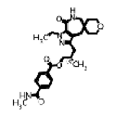 CCn1nc(C[C@@H](C)COC(=O)c2ccc(C(=O)NC)cc2)c2c1C(=O)NCC1(CCOCC1)C2